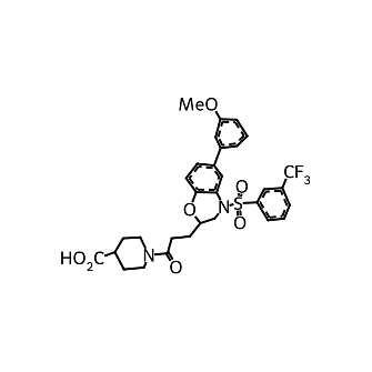 COc1cccc(-c2ccc3c(c2)N(S(=O)(=O)c2cccc(C(F)(F)F)c2)CC(CCC(=O)N2CCC(C(=O)O)CC2)O3)c1